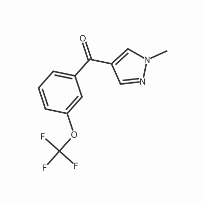 Cn1cc(C(=O)c2cccc(OC(F)(F)F)c2)cn1